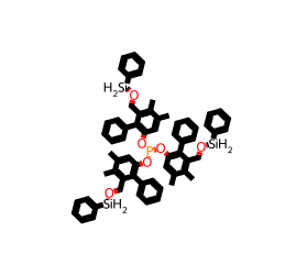 Cc1cc(OP(Oc2cc(C)c(C)c(CO[SiH2]c3ccccc3)c2-c2ccccc2)Oc2cc(C)c(C)c(CO[SiH2]c3ccccc3)c2-c2ccccc2)c(-c2ccccc2)c(CO[SiH2]c2ccccc2)c1C